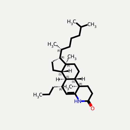 CCC[C@H]1C=C2NC(=O)CC[C@]2(C)[C@H]2CC[C@]3(C)[C@@H]([C@H](C)CCCC(C)C)CC[C@H]3[C@H]12